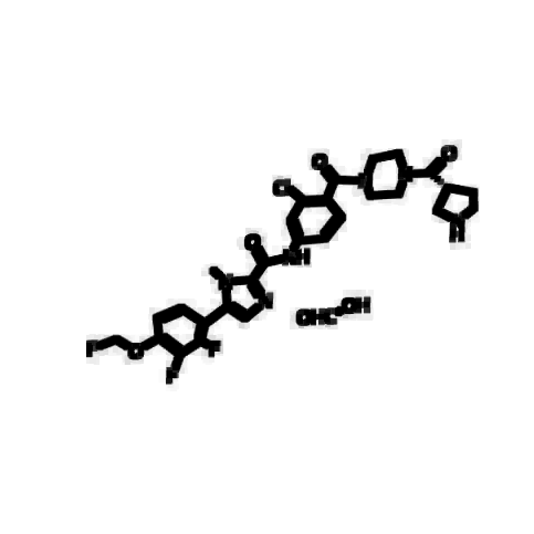 Cn1c(-c2ccc(OCF)c(F)c2F)cnc1C(=O)Nc1ccc(C(=O)N2CCN(C(=O)[C@@H]3CCNC3)CC2)c(Cl)c1.O=CO